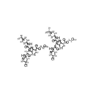 COCCOC(=O)c1cccc2c1nc(C(=O)NC1CCN(C(C)C)CC1)n2CC(=O)Nc1ccc(Cl)cn1.COCCOC(=O)c1cccc2c1nc(C(=O)NC1CCN(C(C)C)CC1)n2CC(=O)Nc1ccc(Cl)cn1